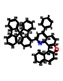 c1ccc(-c2cc(-c3cccc4c3-c3ccccc3C43c4ccccc4-c4ccccc43)nc3c2ccc2oc4ccc5ccccc5c4c23)cc1